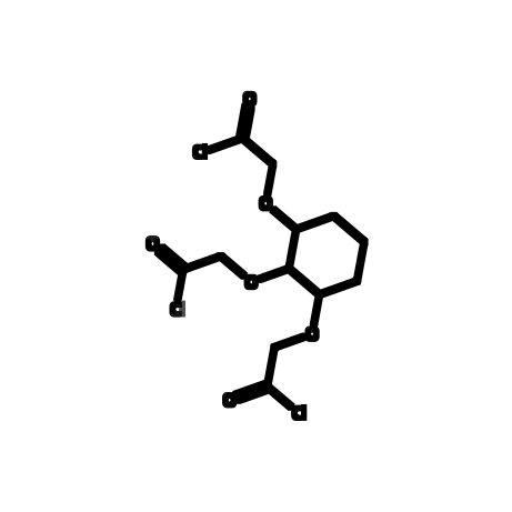 O=C(Cl)COC1CCCC(OCC(=O)Cl)C1OCC(=O)Cl